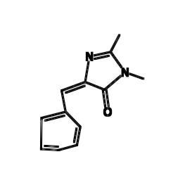 CC1=NC(=Cc2ccccc2)C(=O)N1C